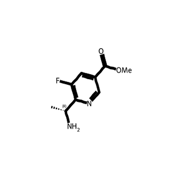 COC(=O)c1cnc([C@@H](C)N)c(F)c1